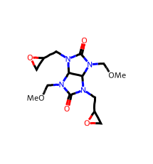 COCN1C(=O)N(CC2CO2)C2C1N(CC1CO1)C(=O)N2COC